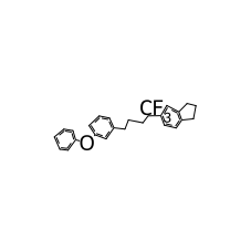 FC(F)(F)C(CCCc1cccc(Oc2ccccc2)c1)c1ccc2c(c1)CCC2